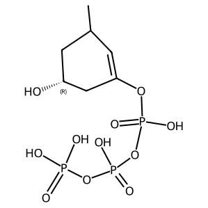 CC1C=C(OP(=O)(O)OP(=O)(O)OP(=O)(O)O)C[C@H](O)C1